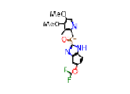 COc1cnc(C[S+]([O-])c2nc3cc(OC(F)F)ccc3[nH]2)c(C)c1OC